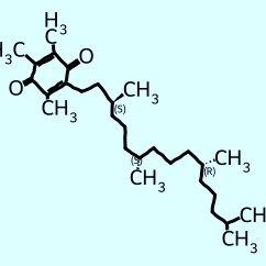 CC1=C(C)C(=O)C(CC[C@@H](C)CCC[C@@H](C)CCC[C@H](C)CCCC(C)C)=C(C)C1=O